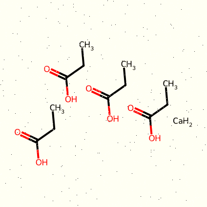 CCC(=O)O.CCC(=O)O.CCC(=O)O.CCC(=O)O.[CaH2]